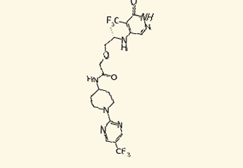 C[C@@H](COCC(=O)NC1CCN(c2ncc(C(F)(F)F)cn2)CC1)Nc1cn[nH]c(=O)c1C(F)(F)F